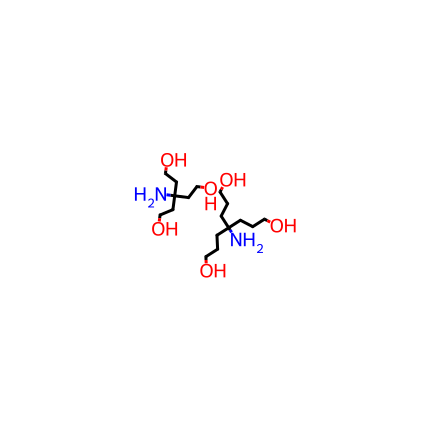 NC(CCCO)(CCCO)CCCO.NC(CCO)(CCO)CCO